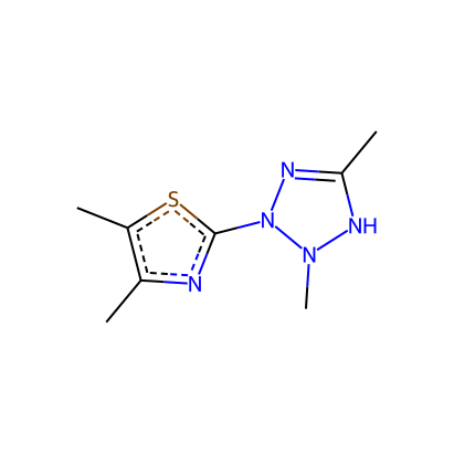 CC1=NN(c2nc(C)c(C)s2)N(C)N1